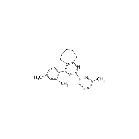 Cc1ccc(-c2nc(-c3cccc(C)n3)nc3c2CCCCC3)c(C)c1